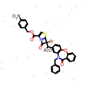 CC(=O)OC(c1ccc2c(c1)N(Cc1ccccc1)C(=O)c1ccccc1O2)C1(Br)C(=O)N2C(C(=O)OCc3ccc([N+](=O)[O-])cc3)=CSC21